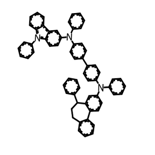 c1ccc(C2CCc3ccccc3-c3ccc(N(c4ccccc4)c4ccc(-c5ccc(N(c6ccccc6)c6ccc7c(c6)c6ccccc6n7-c6ccccc6)cc5)cc4)cc32)cc1